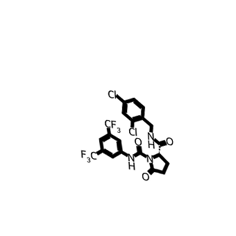 O=C(NCc1ccc(Cl)cc1Cl)[C@@H]1CCC(=O)N1C(=O)Nc1cc(C(F)(F)F)cc(C(F)(F)F)c1